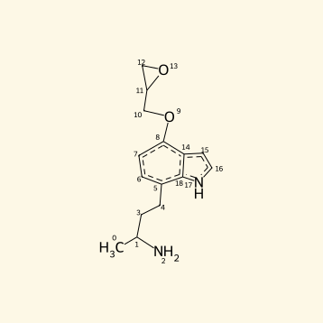 CC(N)CCc1ccc(OCC2CO2)c2cc[nH]c12